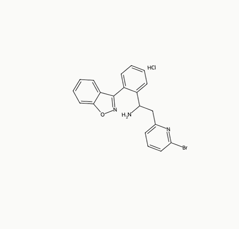 Cl.NC(Cc1cccc(Br)n1)c1ccccc1-c1noc2ccccc12